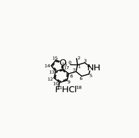 CC1(C)CNCCC1c1cc(F)cc2ccoc12.Cl